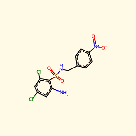 Nc1cc(Cl)cc(Cl)c1S(=O)(=O)NCc1ccc([N+](=O)[O-])cc1